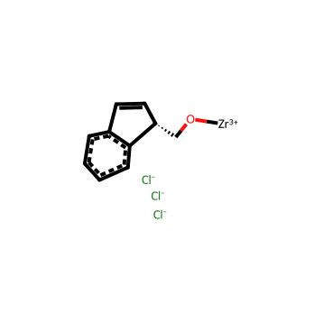 [Cl-].[Cl-].[Cl-].[Zr+3][O]C[C@H]1C=Cc2ccccc21